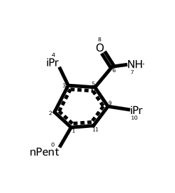 CCCCCc1cc(C(C)C)c(C([NH])=O)c(C(C)C)c1